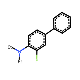 CCN(CC)c1ccc(-c2ccccc2)cc1F